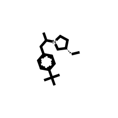 CC[C@H]1CCN(C(C)Cc2ccc(C(C)(C)C)cc2)C1